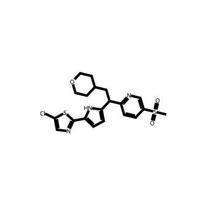 CS(=O)(=O)c1ccc(C(CC2CCOCC2)c2ccc(-c3ncc(Cl)s3)[nH]2)nc1